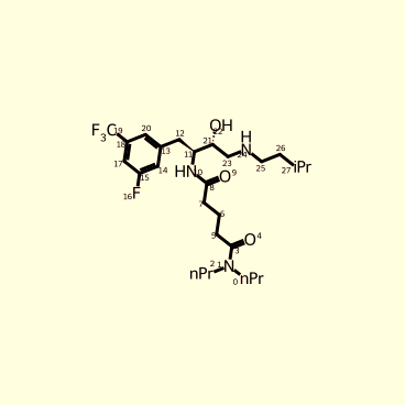 CCCN(CCC)C(=O)CCCC(=O)N[C@@H](Cc1cc(F)cc(C(F)(F)F)c1)[C@H](O)CNCCC(C)C